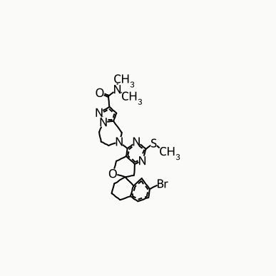 CSc1nc2c(c(N3CCCn4nc(C(=O)N(C)C)cc4C3)n1)COC1(CCCc3ccc(Br)cc31)C2